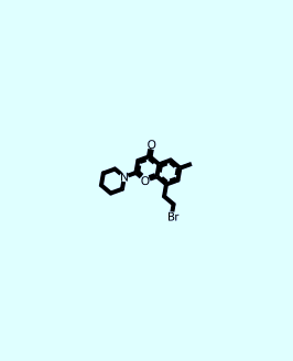 Cc1cc(CCBr)c2oc(N3CCCCC3)cc(=O)c2c1